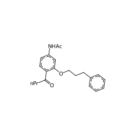 CCCC(=O)c1ccc(NC(C)=O)cc1OCCCc1ccccc1